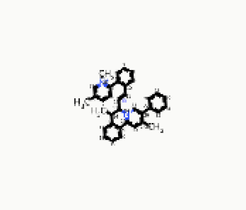 Cc1ccc(-c2ccccc2/C=C/C2C(C)c3ccccc3-c3cc(C)c(-c4ccccc4)c[n+]32)[n+](C)c1